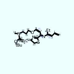 C=C/C=C(CC)/N=C(\C=C/OCCCN(C)C(=O)OC(C)(C)C)C1=N[C@@H](C(=O)O)CS1